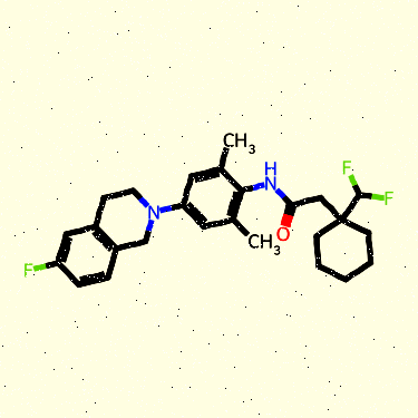 Cc1cc(N2CCc3cc(F)ccc3C2)cc(C)c1NC(=O)CC1(C(F)F)CCCCC1